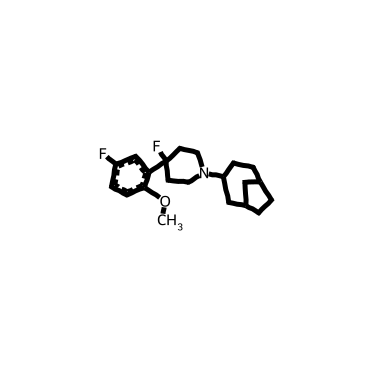 COc1ccc(F)cc1C1(F)CCN(C2CCC3CCC(C3)C2)CC1